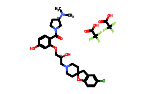 CN(C)[C@@H]1CCN(C(=O)c2ccc(O)cc2OC[C@@H](O)CN2CCC3(CC2)Cc2cc(Cl)ccc2O3)C1.O=C(O)C(F)(F)F.O=C(O)C(F)(F)F